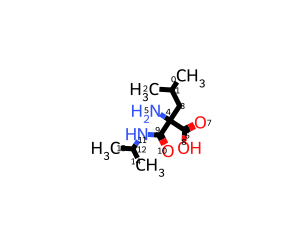 CC(C)CC(N)(C(=O)O)C(=O)NC(C)C